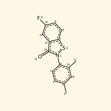 Cc1ccc(-n2sc3ccc(F)cc3c2=O)c(C)c1